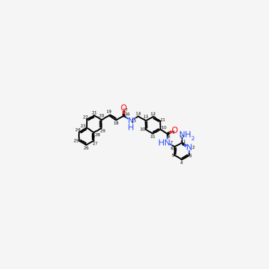 Nc1ncccc1NC(=O)c1ccc(CNC(=O)C=Cc2ccc3ccccc3c2)cc1